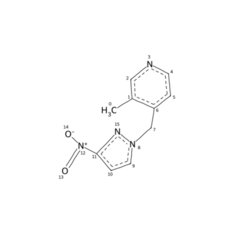 Cc1cnccc1Cn1ccc([N+](=O)[O-])n1